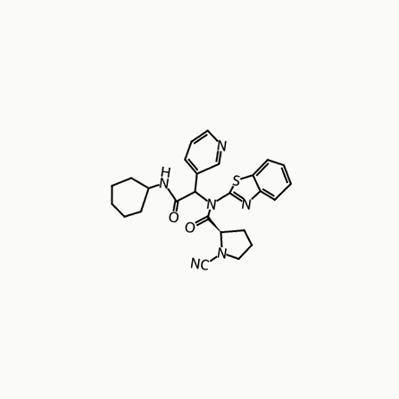 N#CN1CCC[C@@H]1C(=O)N(c1nc2ccccc2s1)C(C(=O)NC1CCCCC1)c1cccnc1